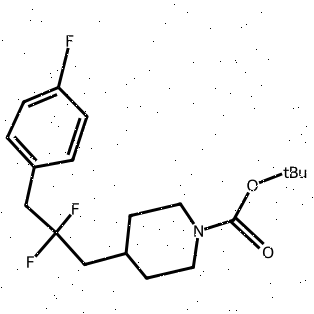 CC(C)(C)OC(=O)N1CCC(CC(F)(F)Cc2ccc(F)cc2)CC1